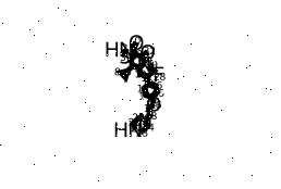 O=c1[nH]sc2c(C3CC3)c3cc(-c4ccc(OCCN5CCNCC5)cc4)c(F)cn3c(=O)c12